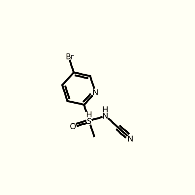 C[SH](=O)(NC#N)c1ccc(Br)cn1